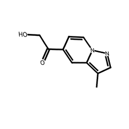 Cc1cnn2ccc(C(=O)CO)cc12